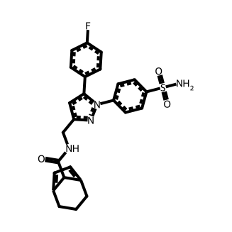 NS(=O)(=O)c1ccc(-n2nc(CNC(=O)C3C4=CC=C3CCC4)cc2-c2ccc(F)cc2)cc1